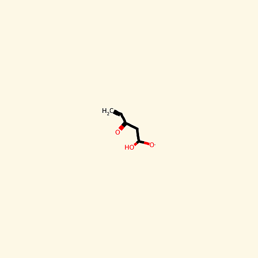 C=CC(=O)CC([O])O